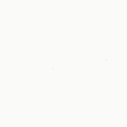 CC(CC1CCN(C(=O)OC(C)(C)C)CC1)C(=O)O